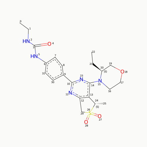 CCNC(=O)Nc1ccc(-c2nc3c(c(N4CCOC[C@@H]4CC)n2)[C@H](C)S(=O)(=O)C3)cc1